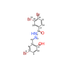 O=C(NN=Cc1cc(Br)ccc1O)c1ccc(Br)c(Br)c1